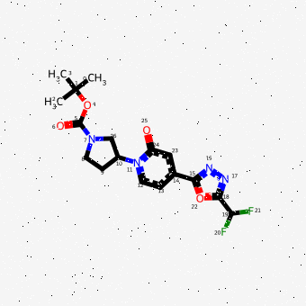 CC(C)(C)OC(=O)N1CCC(n2ccc(-c3nnc(C(F)F)o3)cc2=O)C1